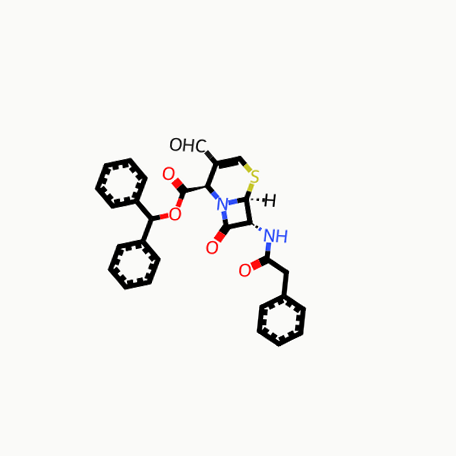 O=CC1=CS[C@H]2[C@H](NC(=O)Cc3ccccc3)C(=O)N2[C@H]1C(=O)OC(c1ccccc1)c1ccccc1